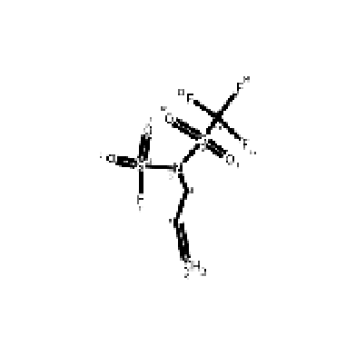 C=CCN(S(=O)(=O)F)S(=O)(=O)C(F)(F)F